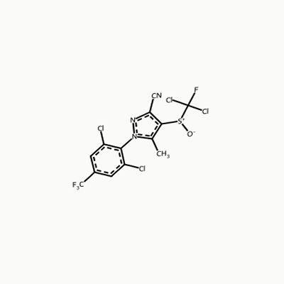 Cc1c([S+]([O-])C(F)(Cl)Cl)c(C#N)nn1-c1c(Cl)cc(C(F)(F)F)cc1Cl